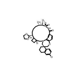 C[C@@H]1[C@@H](C)CCC[C@H](C2OCCO2)[C@@H]2CC[C@H]2CN2C[C@@]3(CCCc4cc(Cl)ccc43)COc3ccc(cc32)C(=O)NS1(=O)=O